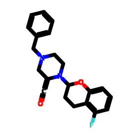 O=C=C1CN(Cc2ccccc2)CCN1C1CCc2c(F)cccc2O1